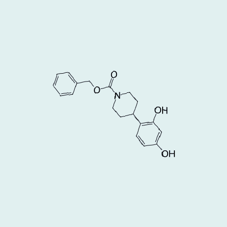 O=C(OCc1ccccc1)N1CCC(c2ccc(O)cc2O)CC1